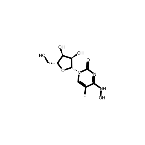 O=c1nc(NO)c(F)cn1[C@@H]1O[C@H](CO)[C@@H](O)[C@H]1O